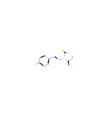 O=C1CSC(=S)N1N=Cc1ccc(Cl)cc1